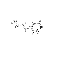 CCON=Cc1cccnc1